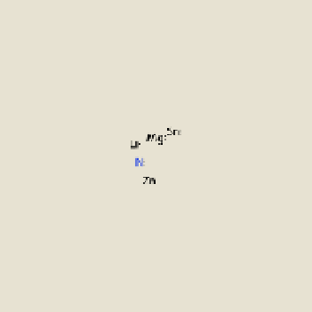 [Li].[Mg].[N].[Sn].[Zn]